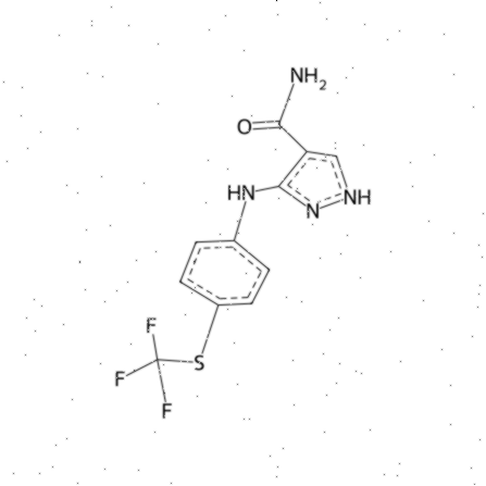 NC(=O)c1c[nH]nc1Nc1ccc(SC(F)(F)F)cc1